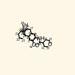 COc1cc2c(cc1NC(=O)C1CCOCC1)C[C@H]1C3CCCC[C@@]23CCN1C